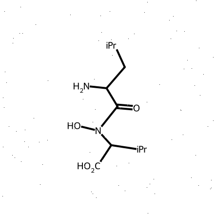 CC(C)CC(N)C(=O)N(O)C(C(=O)O)C(C)C